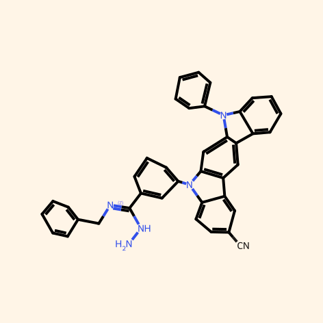 N#Cc1ccc2c(c1)c1cc3c4ccccc4n(-c4ccccc4)c3cc1n2-c1cccc(/C(=N/Cc2ccccc2)NN)c1